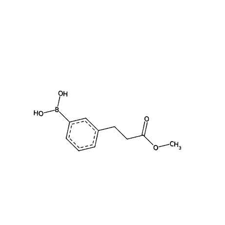 COC(=O)CCc1cccc(B(O)O)c1